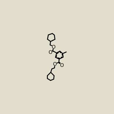 Cc1cc(C(=O)OCCC2CCCCC2)cc(C(=O)OCC2CCCCC2)c1